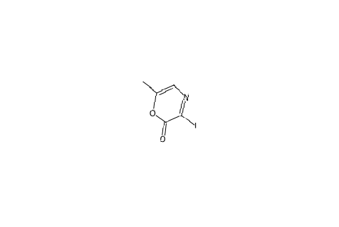 Cc1cnc(I)c(=O)o1